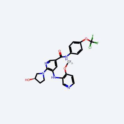 O=C(Nc1ccc(OC(F)(F)Cl)cc1)c1cnc(N2CC[C@@H](O)C2)c(Nc2cnccc2OC(F)(F)F)c1